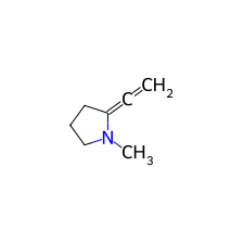 C=C=C1CCCN1C